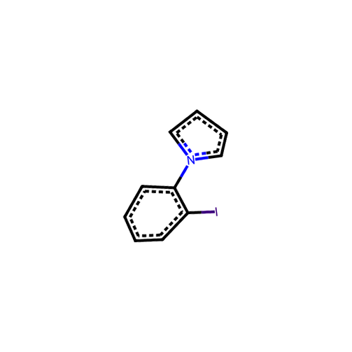 Ic1ccccc1-n1cccc1